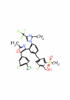 Cc1nc(-c2cc(-c3cc(F)c(CO)c(S(C)(=O)=O)c3)ccc2-n2cc(C(F)(F)F)nc2C)c(-c2ccc(Cl)c(F)c2)o1